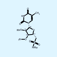 CNS(=O)(=O)C[C@H]1O[C@@H](n2cc(C)c(=O)[nH]c2=O)[C@H](OC)[C@@H]1OC(C)C